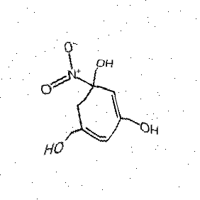 O=[N+]([O-])C1(O)C=C(O)C=C(O)C1